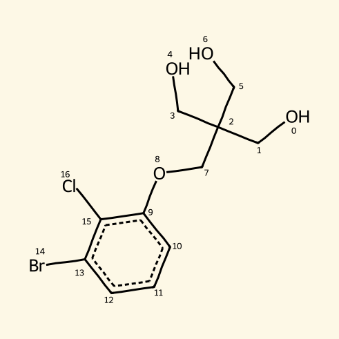 OCC(CO)(CO)COc1cccc(Br)c1Cl